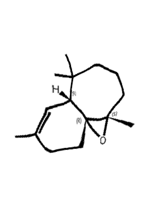 CC1=C[C@@H]2C(C)(C)CCC[C@]3(C)O[C@]23CC1